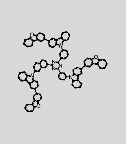 c1cc(-c2nc(-c3cccc(-n4c5ccccc5c5cc(-c6ccc7oc8ccccc8c7c6)ccc54)c3)nc(-c3ccc4ccc(-n5c6ccccc6c6cc(-c7ccc8oc9ccccc9c8c7)ccc65)cc4c3)n2)cc(-n2c3ccccc3c3cc(-c4ccc5oc6ccccc6c5c4)ccc32)c1